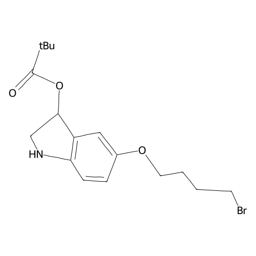 CC(C)(C)C(=O)OC1CNc2ccc(OCCCCBr)cc21